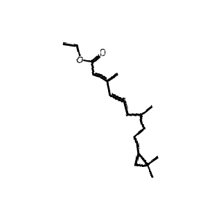 CCOC(=O)/C=C(C)/C=C/CC(C)CCC1CC1(C)C